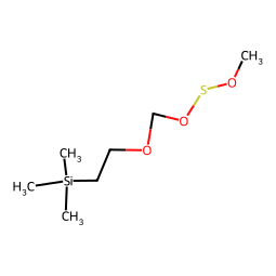 COSOCOCC[Si](C)(C)C